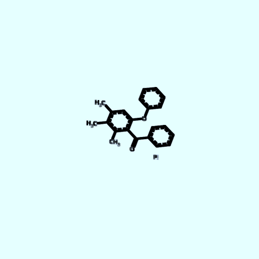 Cc1cc(Oc2ccccc2)c(C(=O)c2ccccc2)c(C)c1C.[P]